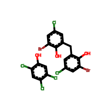 Oc1c(Br)cc(Cl)cc1Cc1cc(Cl)cc(Br)c1O.Oc1cc(Cl)c(Cl)cc1Cl